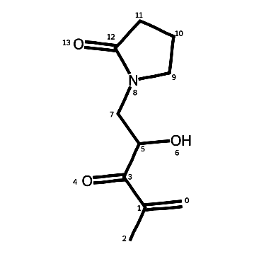 C=C(C)C(=O)C(O)CN1CCCC1=O